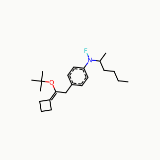 CCCCC(C)N(F)c1ccc(CC(OC(C)(C)C)=C2CCC2)cc1